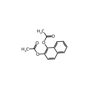 CC(=O)Oc1ccc2ccccc2c1OC(C)=O